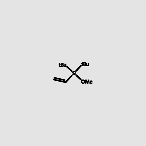 C=C[Si](OC)(C(C)(C)C)C(C)(C)C